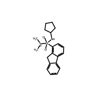 C[SiH](C)[Hf]([Cl])([Cl])([NH]C1CCCC1)[c]1cccc2c1Cc1ccccc1-2